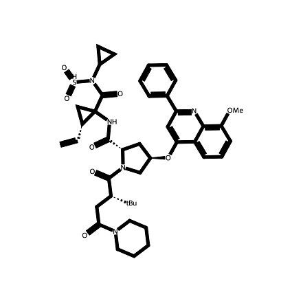 C=C[C@@H]1CC1(NC(=O)[C@@H]1C[C@@H](Oc2cc(-c3ccccc3)nc3c(OC)cccc23)CN1C(=O)[C@@H](CC(=O)N1CCCCC1)C(C)(C)C)C(=O)N(C1CC1)[SH](=O)=O